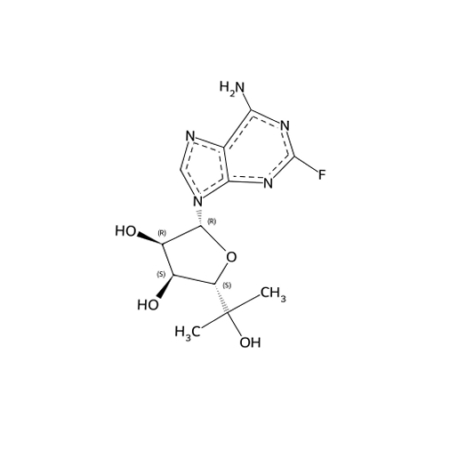 CC(C)(O)[C@H]1O[C@@H](n2cnc3c(N)nc(F)nc32)[C@H](O)[C@@H]1O